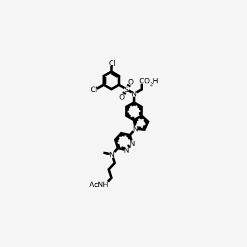 CC(=O)NCCCN(C)c1ccc(-n2ccc3cc(N(CC(=O)O)S(=O)(=O)C4C=C(Cl)C=C(Cl)C4)ccc32)nn1